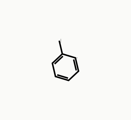 [C]c1[c]cccc1